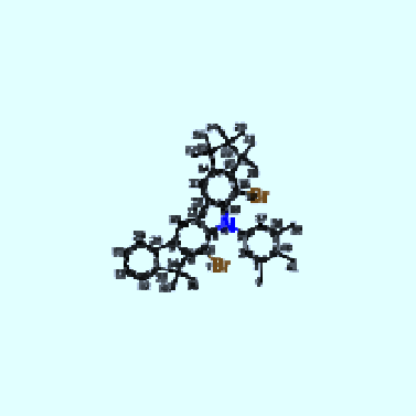 Cc1cc(-n2c3c(Br)c4c(cc3c3cc5c(c(Br)c32)C(C)(C)C(C)(C)C5(C)C)-c2ccccc2C4(C)C)cc(C)c1C